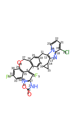 O=c1[nH]c(C(F)=C2c3ccc(Cc4c(C5CC5)nc5c(Cl)cccn45)cc3COc3cc(F)ccc32)no1